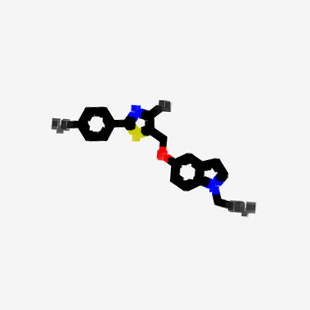 CCc1nc(-c2ccc(C(F)(F)F)cc2)sc1COc1ccc2c(ccn2CC(=O)O)c1